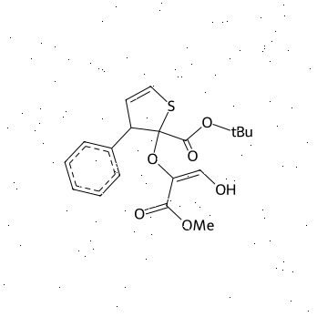 COC(=O)C(=CO)OC1(C(=O)OC(C)(C)C)SC=CC1c1ccccc1